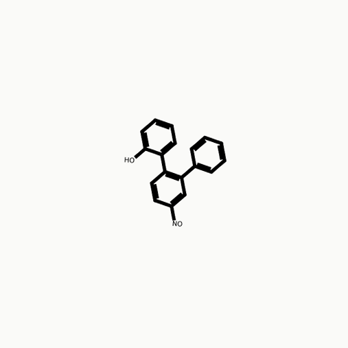 O=Nc1ccc(-c2ccccc2O)c(-c2ccccc2)c1